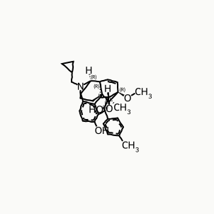 CO[C@]12C=C[C@@]3(C[C@]1(C)[C@@H](O)c1ccc(C)cc1)[C@H]1Cc4ccc(O)c5c4[C@@]3(CCN1CC1CC1)[C@H]2O5